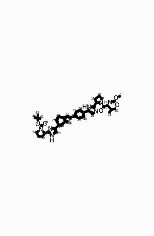 COC(=O)NC(C(=O)N1CCCC1c1ncc(-c2ccc(-c3cc4ccc(-c5c[nH]c(C6CCCN6C(=O)OC(C)(C)C)n5)cc4s3)cc2)[nH]1)C(C)C